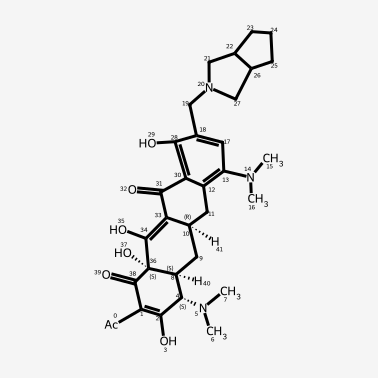 CC(=O)C1=C(O)[C@@H](N(C)C)[C@@H]2C[C@@H]3Cc4c(N(C)C)cc(CN5CC6CCCC6C5)c(O)c4C(=O)C3=C(O)[C@]2(O)C1=O